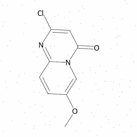 COc1ccc2nc(Cl)cc(=O)n2c1